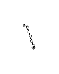 [CH2]COCCOCCOCCOCCO[Si](C)(C)C